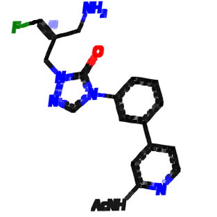 CC(=O)Nc1cc(-c2cccc(-n3cnn(C/C(=C\F)CN)c3=O)c2)ccn1